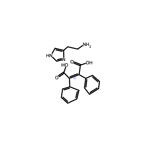 NCCc1c[nH]cn1.O=C(O)/C(=C(\C(=O)O)c1ccccc1)c1ccccc1